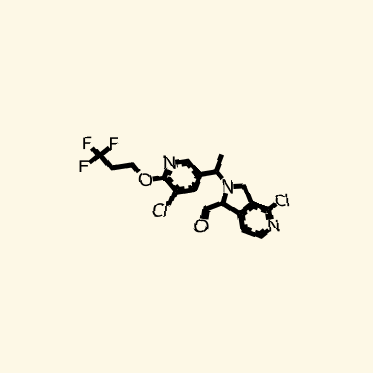 CC(c1cnc(OCCC(F)(F)F)c(Cl)c1)N1Cc2c(ccnc2Cl)C1C=O